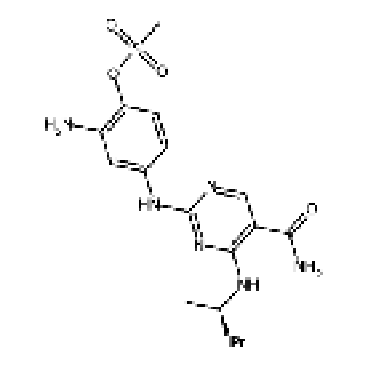 CC(C)[C@@H](C)Nc1nc(Nc2ccc(OS(C)(=O)=O)c(N)c2)ncc1C(N)=O